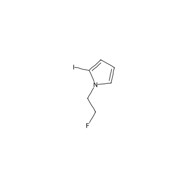 FCCn1cccc1I